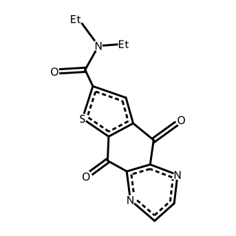 CCN(CC)C(=O)c1cc2c(s1)C(=O)c1nccnc1C2=O